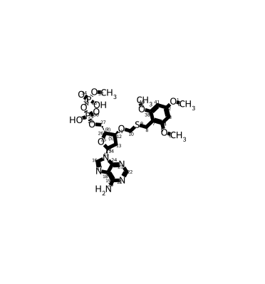 COc1cc(OC)c(CSCO[C@H]2C[C@H](n3cnc4c(N)ncnc43)O[C@@H]2COP(=O)(O)OP(=O)(O)OC)c(OC)c1